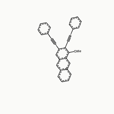 COc1c(C#Cc2ccccc2)c(C#Cc2ccccc2)cc2cc3ccccc3cc12